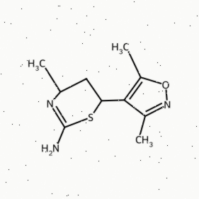 Cc1noc(C)c1C1CC(C)N=C(N)S1